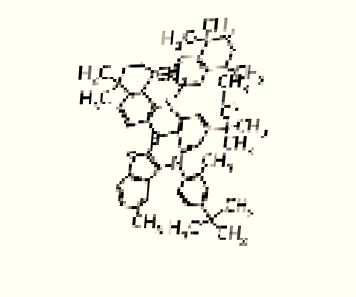 Cc1ccc2sc3c(c2c1)N(c1ccc(C(C)(C)C)cc1C)c1cc(C(C)(C)C)cc2c1B3c1ccc3c4c1N2c1cc2c(cc1C4(C)CCC3(C)C)C(C)(C)CCC2(C)C